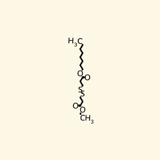 CCCCCCCCOC(=O)CCSSCCC(=O)OCC